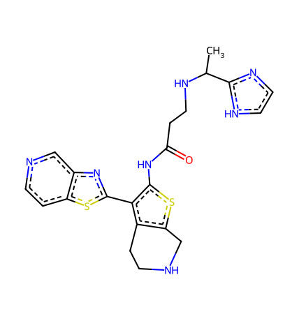 CC(NCCC(=O)Nc1sc2c(c1-c1nc3cnccc3s1)CCNC2)c1ncc[nH]1